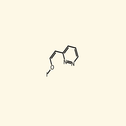 IO/C=C\c1cccnn1